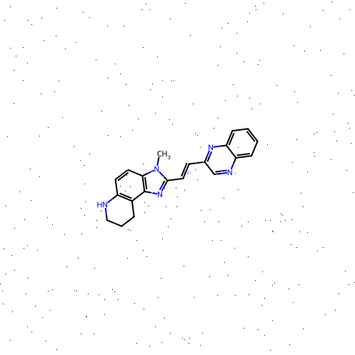 Cn1c(/C=C/c2cnc3ccccc3n2)nc2c3c(ccc21)NCCC3